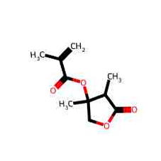 C=C(C)C(=O)OC1(C)COC(=O)C1C